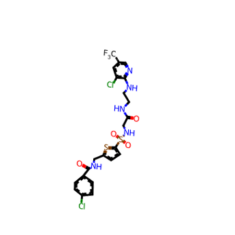 O=C(CNS(=O)(=O)c1ccc(CNC(=O)c2ccc(Cl)cc2)s1)NCCNc1ncc(C(F)(F)F)cc1Cl